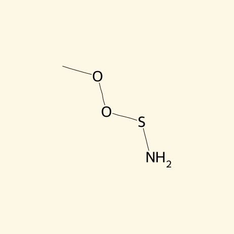 COOSN